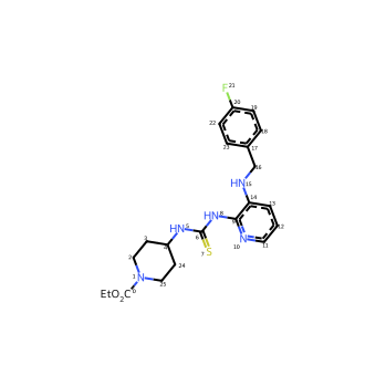 CCOC(=O)N1CCC(NC(=S)Nc2ncccc2NCc2ccc(F)cc2)CC1